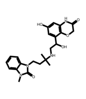 Cn1c(=O)n(CCC(C)(C)NCC(O)c2cc(O)cc3c2OCC(=O)N3)c2ccccc21